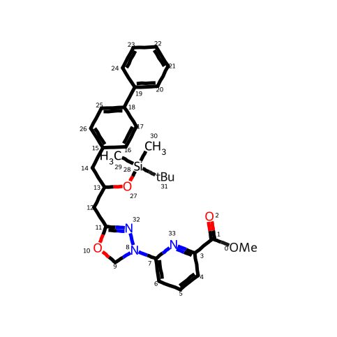 COC(=O)c1cccc(N2COC(CC(Cc3ccc(-c4ccccc4)cc3)O[Si](C)(C)C(C)(C)C)=N2)n1